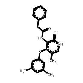 Cc1cc(C)cc(Sc2c(C)c[nH]c(=O)c2NC(=O)Cc2ccccc2)c1